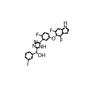 OC(c1cccc(I)c1)c1nnc(-c2cc(Oc3c(F)cc4[nH]ccc4c3F)ccc2F)[nH]1